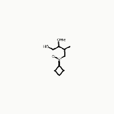 COC(CO)C(C)C[S+]([O-])C1CCC1